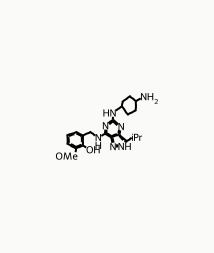 COc1cccc(CNc2nc(NC3CCC(N)CC3)nc3c(C(C)C)[nH]nc23)c1O